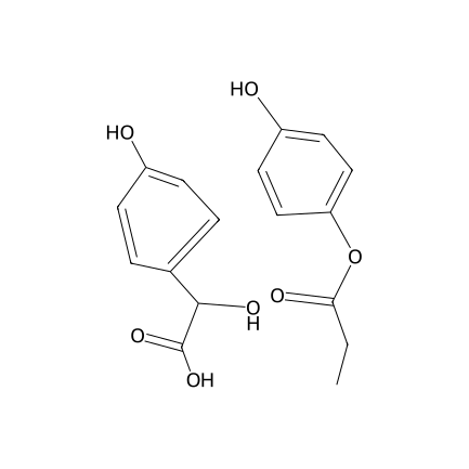 CCC(=O)Oc1ccc(O)cc1.O=C(O)C(O)c1ccc(O)cc1